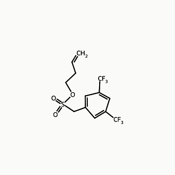 C=CCCOS(=O)(=O)Cc1cc(C(F)(F)F)cc(C(F)(F)F)c1